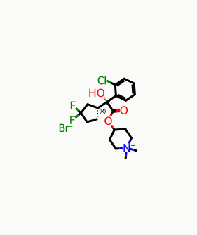 C[N+]1(C)CCC(OC(=O)[C@](O)(c2ccccc2Cl)[C@@H]2CCC(F)(F)C2)CC1.[Br-]